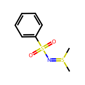 CS(C)=NS(=O)(=O)c1ccccc1